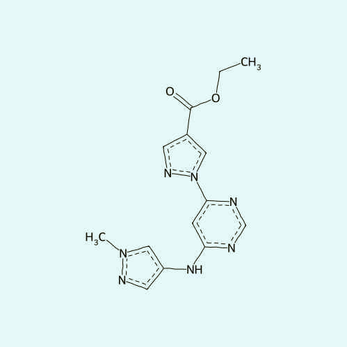 CCOC(=O)c1cnn(-c2cc(Nc3cnn(C)c3)ncn2)c1